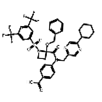 O=C(O)c1ccc(N(Cc2cnc(C3CCCCC3)cn2)C(=O)[C@]2(OCc3ccccc3)CCN2S(=O)(=O)c2cc(C(F)(F)F)cc(C(F)(F)F)c2)cc1